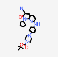 CC(C)(C)OC(=O)N1CCN(c2ccc(Nc3ccc4cc(C#N)c(=O)n(C5CCCC5)c4n3)cc2)CC1